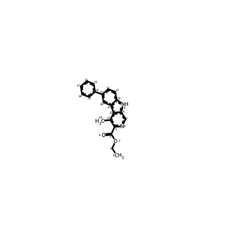 CCOC(=O)c1ncc2[nH]c3ccc(-c4ccccc4)cc3c2c1C